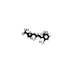 CC1=C(C=C/C(C)=C/c2ccc(C(=O)O)s2)C(C)(C)CCC1